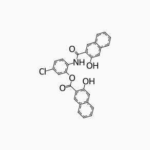 O=C(Nc1ccc(Cl)cc1OC(=O)c1cc2ccccc2cc1O)c1cc2ccccc2cc1O